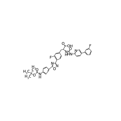 CC(C)(C)OC(=O)Nc1ccc(-c2nc(-c3ccc(CC(NC(=O)Nc4ccc(-c5cccc(F)c5)cn4)C(=O)O)cc3F)no2)cc1